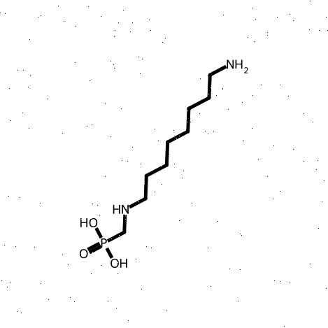 NCCCCCCCCNCP(=O)(O)O